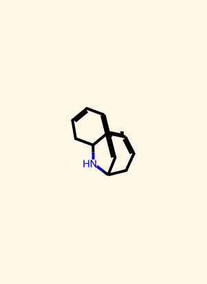 C1=CC2=CCC3C=C4C=CCC(N3)C24C=C1